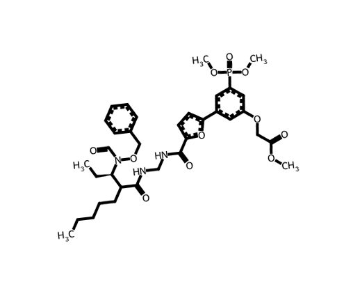 CCCCCC(C(=O)NCNC(=O)c1ccc(-c2cc(OCC(=O)OC)cc(P(=O)(OC)OC)c2)o1)[C@@H](CC)N(C=O)OCc1ccccc1